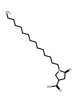 CCCCCCCCCCCCCCCN1CC(C(=O)O)CC1=O